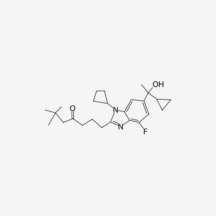 CC(C)(C)CC(=O)CCCc1nc2c(F)cc(C(C)(O)C3CC3)cc2n1C1CCC1